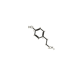 CC[CH]c1ccc(O)cc1